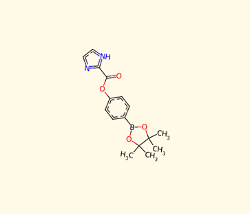 CC1(C)OB(c2ccc(OC(=O)c3ncc[nH]3)cc2)OC1(C)C